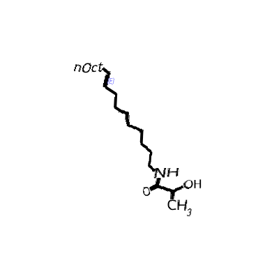 CCCCCCCC/C=C/CCCCCCCCNC(=O)C(C)O